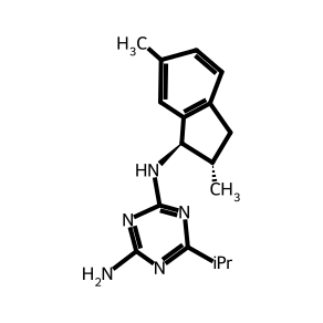 Cc1ccc2c(c1)[C@H](Nc1nc(N)nc(C(C)C)n1)[C@@H](C)C2